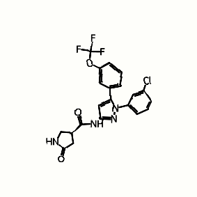 O=C1C[C@H](C(=O)Nc2cc(-c3cccc(OC(F)(F)F)c3)n(-c3cccc(Cl)c3)n2)CN1